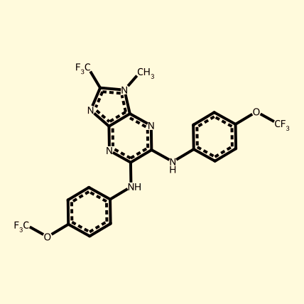 Cn1c(C(F)(F)F)nc2nc(Nc3ccc(OC(F)(F)F)cc3)c(Nc3ccc(OC(F)(F)F)cc3)nc21